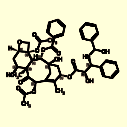 CC(=O)O[C@H]1C(=O)[C@@]2(C)[C@H]([C@H](OC(=O)c3ccccc3)[C@@]3(O)CC1=C(C)[C@@H](OC(=O)[C@H](O)[C@@H](NC(O)c1ccccc1)c1ccccc1)C3)[C@]1(OC(C)=O)CO[C@@H]1C[C@@H]2O